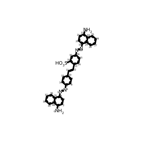 Nc1ccc(/N=N/c2ccc(/C=C/c3ccc(/N=N/c4ccc(N)c5ccccc45)cc3S(=O)(=O)O)cc2)c2ccccc12